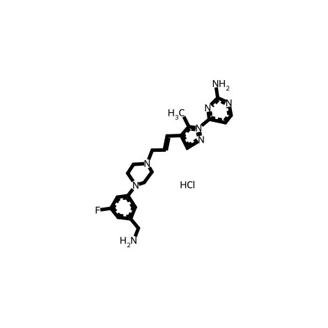 Cc1c(/C=C/CN2CCN(c3cc(F)cc(CN)c3)CC2)cnn1-c1ccnc(N)n1.Cl